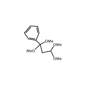 COC(CC(OC)(OC)c1ccccc1)OC